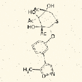 CC(=O)[C@]1(O)[C@@](O)(C(C)=O)CS[C@H](Oc2cccc(-c3cnoc3C)c2)[C@@]1(O)C(C)=O